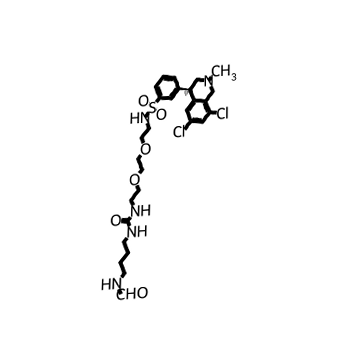 CN1Cc2c(Cl)cc(Cl)cc2[C@@H](c2cccc(S(=O)(=O)NCCOCCOCCNC(=O)NCCCCNC=O)c2)C1